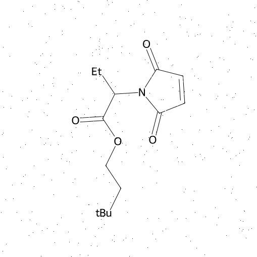 CCC(C(=O)OCCC(C)(C)C)N1C(=O)C=CC1=O